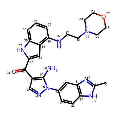 Cc1nc2cc(-n3ncc(C(=O)c4cc5c(NCCN6CCOCC6)cccc5[nH]4)c3N)ccc2[nH]1